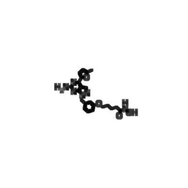 Cc1ccc(-c2nc(N)nc3c2cnn3Cc2cccc(OCCCCC(=O)NO)c2)o1